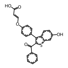 O=C(O)/C=C/Oc1ccc(-c2c(C(=O)c3ccccc3)sc3cc(O)ccc23)cc1